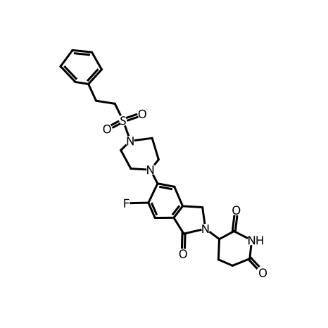 O=C1CCC(N2Cc3cc(N4CCN(S(=O)(=O)CCc5ccccc5)CC4)c(F)cc3C2=O)C(=O)N1